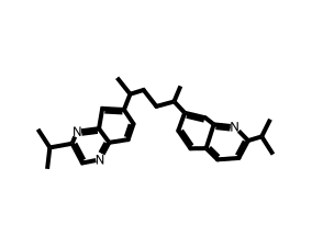 CC(C)c1ccc2ccc(C(C)CCC(C)c3ccc4ncc(C(C)C)nc4c3)cc2n1